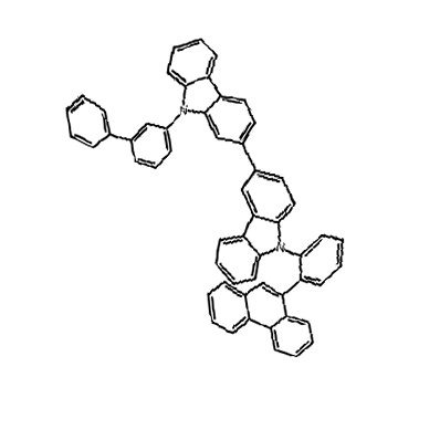 c1ccc(-c2cccc(-n3c4ccccc4c4ccc(-c5ccc6c(c5)c5ccccc5n6-c5ccccc5-c5cc6ccccc6c6ccccc56)cc43)c2)cc1